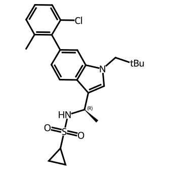 Cc1cccc(Cl)c1-c1ccc2c([C@@H](C)NS(=O)(=O)C3CC3)cn(CC(C)(C)C)c2c1